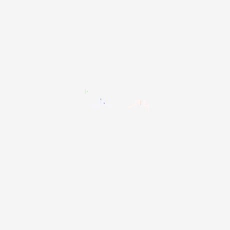 Cl.Pc1ccccn1